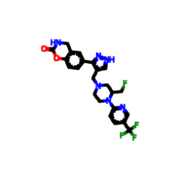 O=C1NCc2cc(-c3n[nH]cc3CN3CCN(c4ccc(C(F)(F)F)cn4)C(CF)C3)ccc2O1